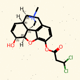 CN1CC[C@]23c4c5ccc(OC(=O)CC(Cl)Cl)c4O[C@H]2[C@@H](O)C=C[C@H]3[C@H]1C5